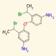 CC(Br)c1cc(N)ccc1Oc1ccc(N)cc1C(C)Br